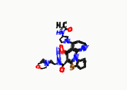 CC(=O)NC1CCN(c2ccnc3c2c(=O)c(C(=O)NCCN2CCOCC2)c2sc4ccccc4n23)C1